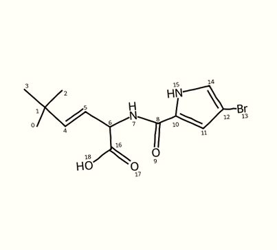 CC(C)(C)/C=C/C(NC(=O)c1cc(Br)c[nH]1)C(=O)O